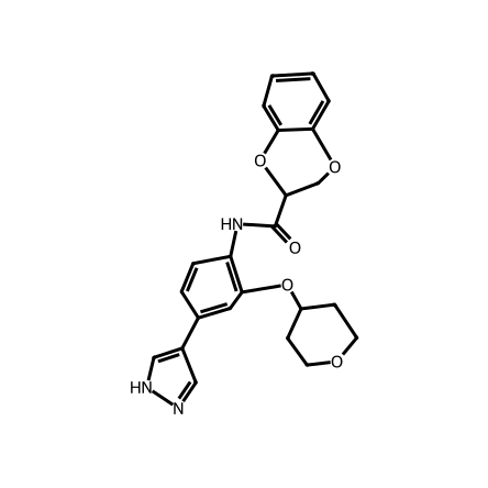 O=C(Nc1ccc(-c2cn[nH]c2)cc1OC1CCOCC1)C1COc2ccccc2O1